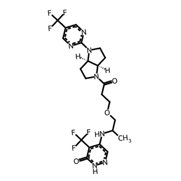 CC(COCCC(=O)N1CC[C@@H]2[C@H]1CCN2c1ncc(C(F)(F)F)cn1)Nc1cn[nH]c(=O)c1C(F)(F)F